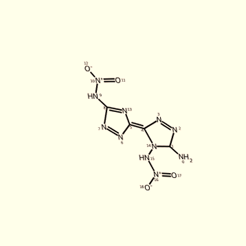 NC1N=NC(=C2N=NC(N[N+](=O)[O-])=N2)N1N[N+](=O)[O-]